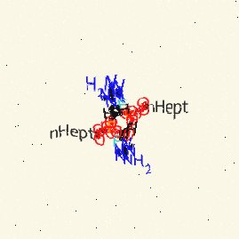 CCCCCCCC(=O)OCOP1(=O)OC[C@H]2C[C@@H](n3cnc4c(N)ncnc43)C(F)[C@H]2OP(=O)(OCOC(=O)CCCCCCC)OC[C@H]2O[C@@H](n3cnc4c(N)ncnc43)[C@@H](F)C2O1